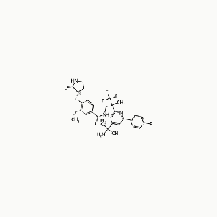 COc1cc(C(=O)NCC(C)(c2cc(C(C)(C)N)cc(-c3ccc(F)cc3)n2)C(F)(F)F)ccc1O[C@H]1CCNC1=O